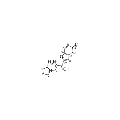 N[C@H](CN1CCCC1)C(O)c1cc2cc(Cl)ccc2o1